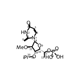 C=C1NC(=O)C=CN1[C@@H]1O[C@H](C(C)OP(=O)(O)O)[C@H](OC(C)C)C1OC